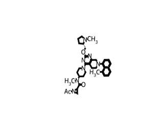 CC(=O)N1CC1C(=O)N(C)C1CCN(c2nc(OC[C@@H]3CCCN3C)nc3c2CCN(c2cccc4cccc(C)c24)C3)CC1